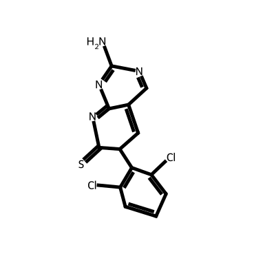 Nc1ncc2c(n1)=NC(=S)C(c1c(Cl)cccc1Cl)C=2